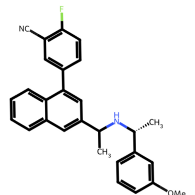 COc1cccc([C@@H](C)NC(C)c2cc(-c3ccc(F)c(C#N)c3)c3ccccc3c2)c1